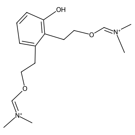 C[N+](C)=COCCc1cccc(O)c1CCOC=[N+](C)C